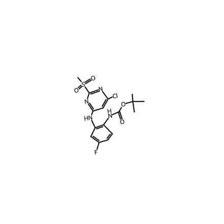 CC(C)(C)OC(=O)Nc1ccc(F)cc1Nc1cc(Cl)nc(S(C)(=O)=O)n1